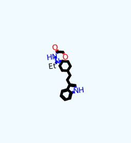 CCN1NC(=O)COC12CCC(CCc1c[nH]c3ccccc13)CC2